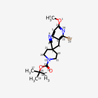 COc1ccc(CC2(C#N)CCN(C(=O)OC(C)(C)C)CC2)c(Br)n1